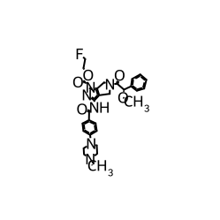 CO[C@@H](C(=O)N1Cc2c(NC(=O)c3ccc(N4CCN(C)CC4)cc3)nn(C(=O)OCCF)c2C1)c1ccccc1